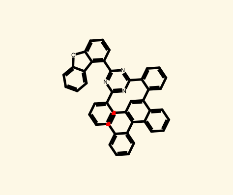 c1ccc(-c2nc(-c3ccccc3-c3cc4ccc5ccccc5c4c4ccccc34)nc(-c3cccc4oc5ccccc5c34)n2)cc1